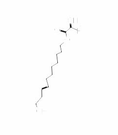 C=C(F)C(=O)OCCCCCCCC=CCCC